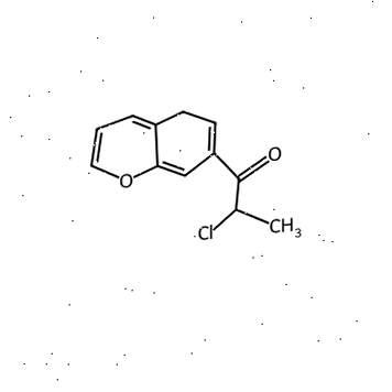 CC(Cl)C(=O)C1=CCC2=CC=COC2=C1